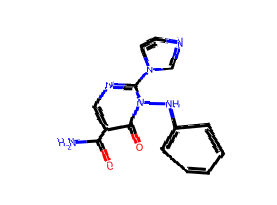 NC(=O)c1cnc(-n2ccnc2)n(Nc2ccccc2)c1=O